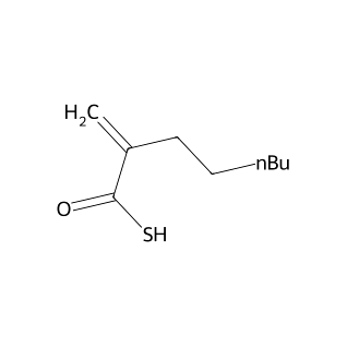 C=C(CCCCCC)C(=O)S